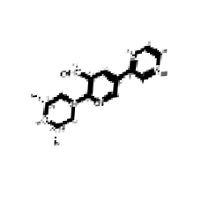 C[C@@H]1CN(c2ncc(-c3cnccn3)cc2C=O)C[C@H](C)O1